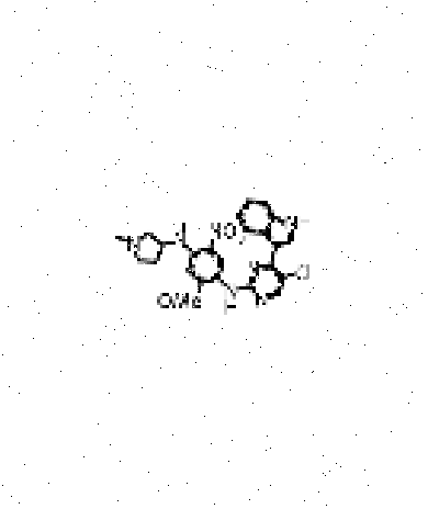 COc1cc(N(C)C2CCN(C)C2)c([N+](=O)[O-])cc1Nc1ncc(Cl)c(-c2c[nH]c3ccccc23)n1